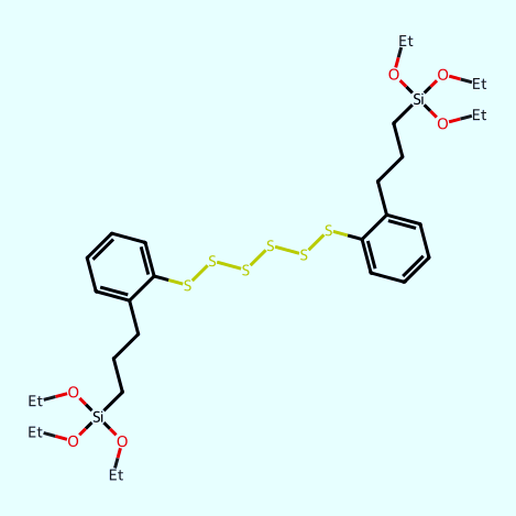 CCO[Si](CCCc1ccccc1SSSSSSc1ccccc1CCC[Si](OCC)(OCC)OCC)(OCC)OCC